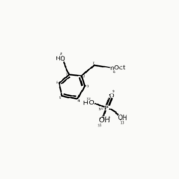 CCCCCCCCCc1ccccc1O.O=P(O)(O)O